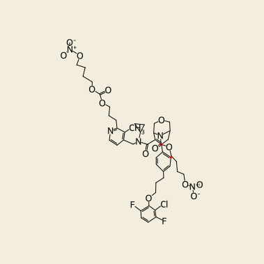 Cc1c(CN(C(=O)C2=C(c3ccc(CCCOc4c(F)ccc(F)c4Cl)cc3)CC3COCC2N3C(=O)OCCCCO[N+](=O)[O-])C2CC2)ccnc1CCCOC(=O)OCCCCO[N+](=O)[O-]